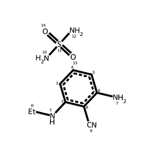 CCNc1cccc(N)c1C#N.NS(N)(=O)=O